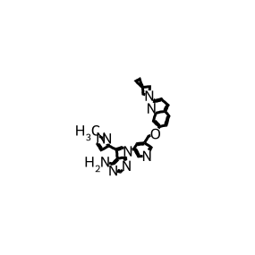 Cn1ccc(-c2cn(-c3cncc(COc4ccc5ccc(N6CC7(CC7)C6)nc5c4)c3)c3ncnc(N)c23)n1